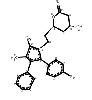 Cc1c(-c2ccccc2)c(-c2ccc(F)cc2)n(CC[C@@H]2C[C@@H](O)CC(=O)O2)c1C(C)C